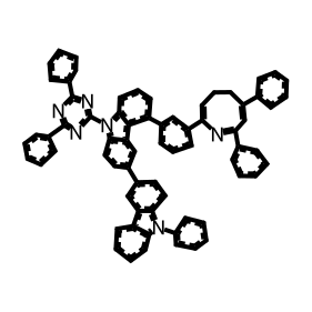 C1=C(c2cccc(-c3cccc4c3c3cc(-c5ccc6c(c5)c5ccccc5n6-c5ccccc5)ccc3n4-c3nc(-c4ccccc4)nc(-c4ccccc4)n3)c2)/N=C(c2ccccc2)\C=C(\c2ccccc2)CC\1